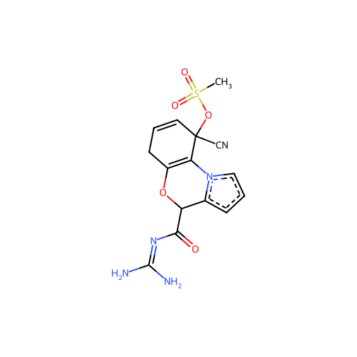 CS(=O)(=O)OC1(C#N)C=CCC2=C1n1cccc1C(C(=O)N=C(N)N)O2